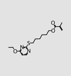 C=C(C)C(=O)OCCCCCCSc1nccc(OCC)n1